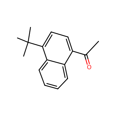 CC(=O)c1ccc(C(C)(C)C)c2ccccc12